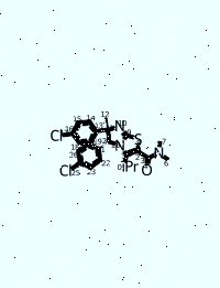 CC(C)C1=C(C(=O)N(C)C)SC2=N[C@@](C)(c3ccc(Cl)cc3)[C@@H](c3ccc(Cl)cc3)N21